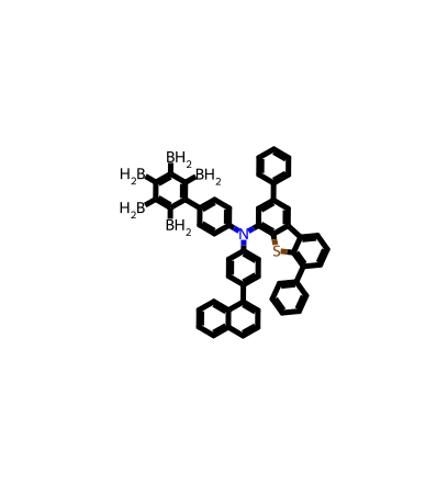 Bc1c(B)c(B)c(-c2ccc(N(c3ccc(-c4cccc5ccccc45)cc3)c3cc(-c4ccccc4)cc4c3sc3c(-c5ccccc5)cccc34)cc2)c(B)c1B